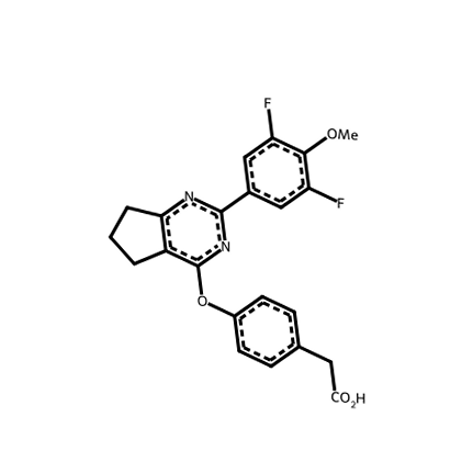 COc1c(F)cc(-c2nc3c(c(Oc4ccc(CC(=O)O)cc4)n2)CCC3)cc1F